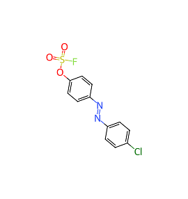 O=S(=O)(F)Oc1ccc(/N=N/c2ccc(Cl)cc2)cc1